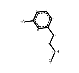 Oc1cccc(CCNCl)c1